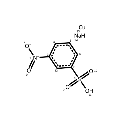 O=[N+]([O-])c1cccc(S(=O)(=O)O)c1.[Cu].[NaH]